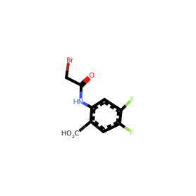 O=C(CBr)Nc1cc(F)c(F)cc1C(=O)O